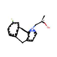 C[C@@H](O)Cn1ccc2c1-c1cc(F)ccc1C2